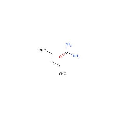 NC(N)=O.O=C/C=C/CC=O